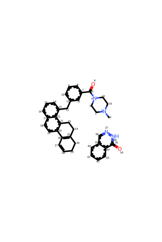 CN1CCN(C(=O)c2cccc(Cc3cccc4ccc5c(c34)CCC3=C5C=CCC3)c2)CC1.O=c1[nH]ncc2ccccc12